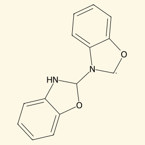 [CH]1Oc2ccccc2N1C1Nc2ccccc2O1